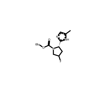 Cc1cnc([C@@H]2CC(F)CN2C(=O)OC(C)(C)C)[nH]1